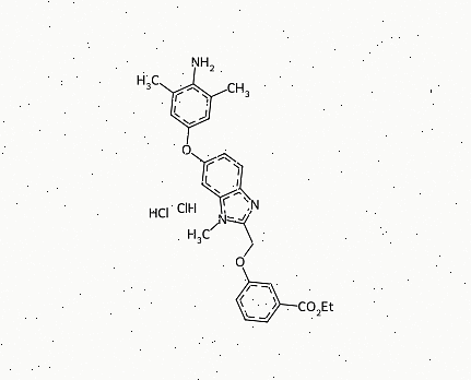 CCOC(=O)c1cccc(OCc2nc3ccc(Oc4cc(C)c(N)c(C)c4)cc3n2C)c1.Cl.Cl